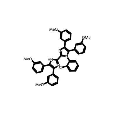 COc1cccc(-c2nc(-c3nc(-c4cccc(OC)c4)c(-c4cccc(OC)c4)n3-c3ccccc3Cl)[nH]c2-c2cccc(OC)c2)c1